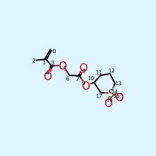 C=C(C)C(=O)OCC(=O)OC1CCCS(=O)(=O)C1